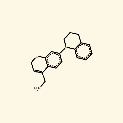 NCC1=CCOc2cc(N3CCCc4ccccc43)ccc21